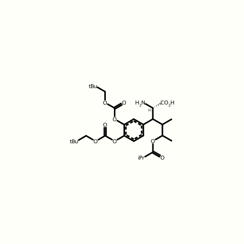 CC(C)C(=O)OC(C)C(C)C(c1ccc(OC(=O)OCC(C)(C)C)c(OC(=O)OCC(C)(C)C)c1)[C@H](N)C(=O)O